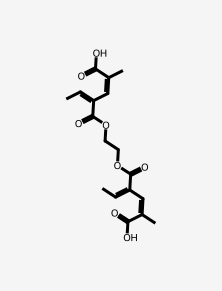 CC=C(C=C(C)C(=O)O)C(=O)OCCOC(=O)C(C=C(C)C(=O)O)=CC